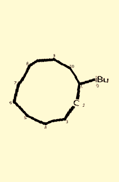 [CH2]CC(C)C1CCCCCCCCC1